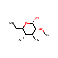 CCCCO[C@H]1[C@@H](OC(C)=O)[C@H](OC(C)=O)[C@@H](COC(C)=O)O[C@@H]1O